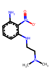 CN(C)CCNc1cccc(N)c1[N+](=O)[O-]